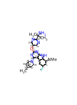 CNc1cc(F)cc2c1[nH]c1nc(Oc3cnc(C(C)(C)N)nc3)nc(N3CC4CC3C[C@H]4C)c12